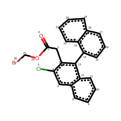 O=C(Cc1c(Cl)cc2ccccc2c1-c1cccc2ccccc12)OCBr